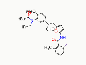 COc1ccc(C(C=O)Cc2ccc(NC(=O)c3c(C)cccc3I)o2)cc1N(CC(C)C)C(=O)C(C)(C)C